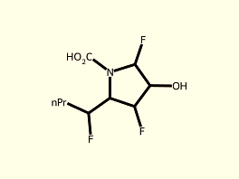 CCCC(F)C1C(F)C(O)C(F)N1C(=O)O